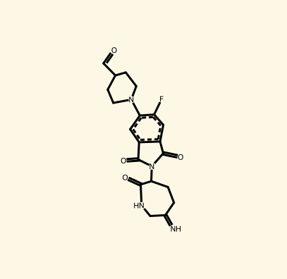 N=C1CCC(N2C(=O)c3cc(F)c(N4CCC(C=O)CC4)cc3C2=O)C(=O)NC1